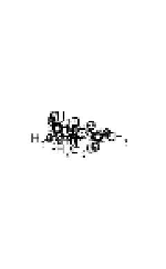 CCNC1(C2=C[C@H](C)c3c(cc(OC)cc3OC)CN2C=O)CCN(C(=O)c2cc(OC)cc(OC)c2)CC1